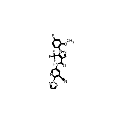 COc1cc(F)ccc1-n1ncc(C(=O)Nc2cnc(-n3nccn3)c(C#N)c2)c1C(F)(F)F